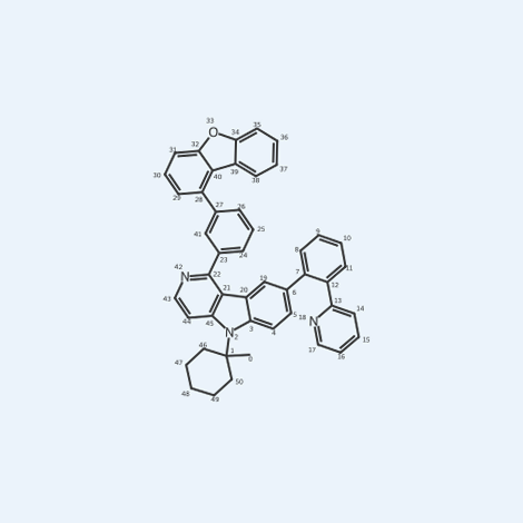 CC1(n2c3ccc(-c4ccccc4-c4ccccn4)cc3c3c(-c4cccc(-c5cccc6oc7ccccc7c56)c4)nccc32)CCCCC1